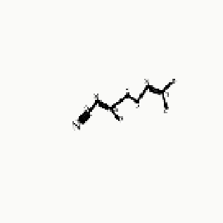 CC(C)=CCC/C(C)=C/C#N